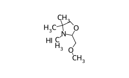 COCC1OCC(C)(C)N1C.I